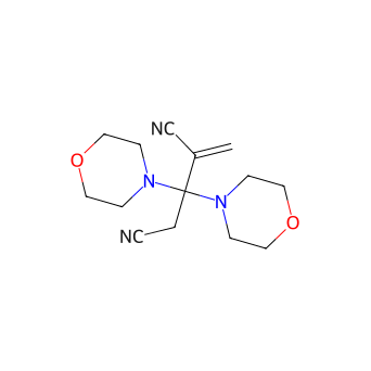 C=C(C#N)C(CC#N)(N1CCOCC1)N1CCOCC1